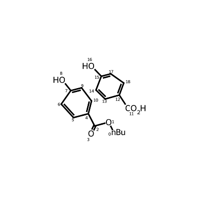 CCCCOC(=O)c1ccc(O)cc1.O=C(O)c1ccc(O)cc1